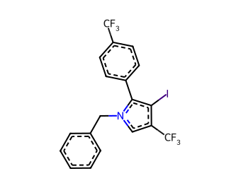 FC(F)(F)c1ccc(-c2c(I)c(C(F)(F)F)cn2Cc2ccccc2)cc1